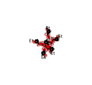 CCOc1cccc(C(=O)OOC(=O)OCCC(COC(=O)OOC(=O)c2cccc(OCC)c2)C(COC(=O)OOC(=O)c2cccc(OCC)c2)C(CCOC(=O)OOC(=O)c2cccc(OCC)c2)COC(=O)OOC(=O)c2cccc(OCC)c2)c1